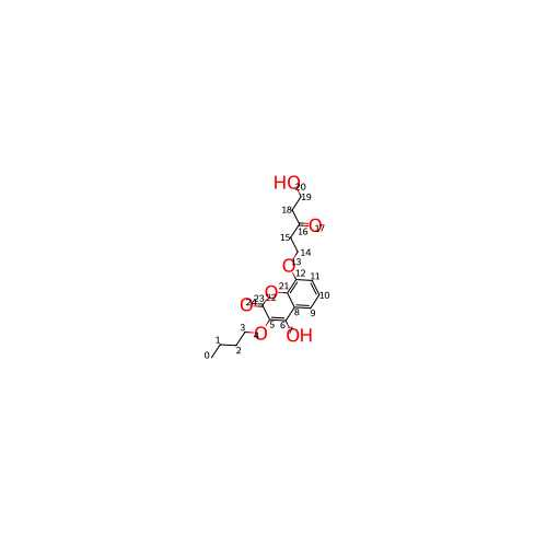 CCCCOc1c(O)c2cccc(OCCC(=O)CCO)c2oc1=O